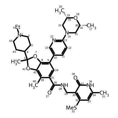 CCN1CCC(C2(C)Oc3c(-c4ccc(N5C[C@@H](C)O[C@@H](C)C5)nc4)cc(C(=O)NCc4c(SC)cc(C)[nH]c4=O)c(C)c3O2)CC1